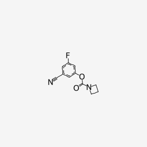 N#Cc1cc(F)cc(OC(=O)N2CCC2)c1